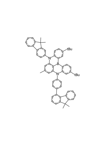 Cc1cc2c3c(c1)N(c1ccc(-c4cccc5c4-c4ccccc4C5(C)C)cc1)c1cc(C(C)(C)C)ccc1B3c1cc(C(C)(C)C)ccc1N2c1ccc2c(c1)C(C)(C)c1ccccc1-2